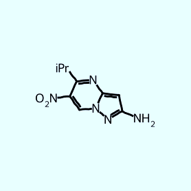 CC(C)c1nc2cc(N)nn2cc1[N+](=O)[O-]